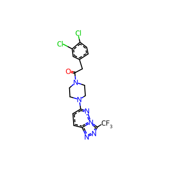 O=C(Cc1ccc(Cl)c(Cl)c1)N1CCN(c2ccc3nnc(C(F)(F)F)n3n2)CC1